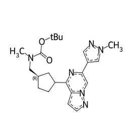 CN(C[C@@H]1CCC(c2nc(-c3cnn(C)c3)cn3nccc23)C1)C(=O)OC(C)(C)C